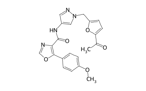 COc1ccc(-c2ocnc2C(=O)Nc2cnn(Cc3ccc(C(C)=O)o3)c2)cc1